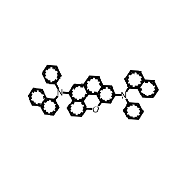 c1ccc(N(c2cc3c4c(ccc5cc(N(c6ccccc6)c6cccc7ccccc67)c6cccc(c6c54)O3)c2)c2cccc3ccccc23)cc1